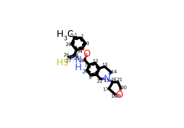 Cc1ccc(OCc2ccc3c(c2)CCN(C2CCOCC2)C3)c(/C(N)=C/S)c1